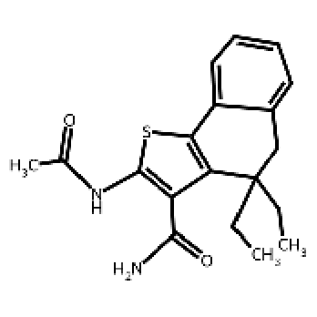 CCC1(CC)Cc2ccccc2-c2sc(NC(C)=O)c(C(N)=O)c21